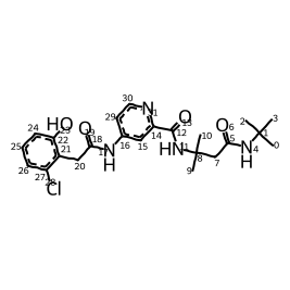 CC(C)(C)NC(=O)CC(C)(C)NC(=O)c1cc(NC(=O)Cc2c(O)cccc2Cl)ccn1